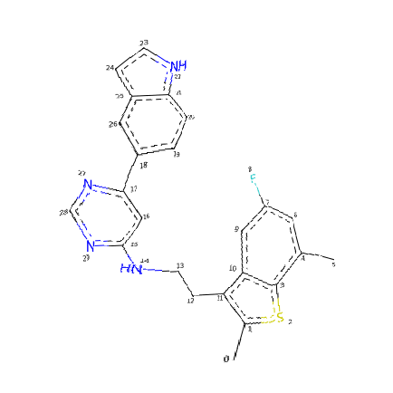 Cc1sc2c(C)cc(F)cc2c1CCNc1cc(-c2ccc3[nH]ccc3c2)ncn1